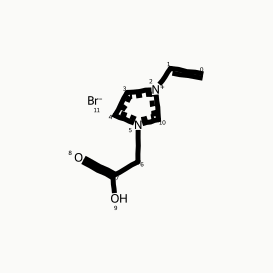 C=C[n+]1ccn(CC(=O)O)c1.[Br-]